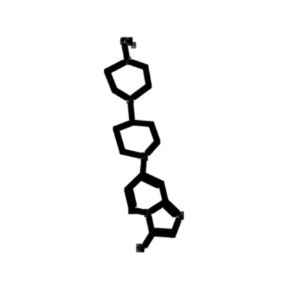 CN1CCN(C2CCN(c3cnn4c(Br)cnc4c3)CC2)CC1